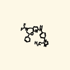 Cc1nccn1-c1ccc(Nc2ccc3c(n2)OC(c2ccccc2)CN(C(F)F)C3)cc1